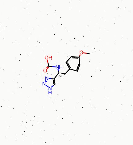 COc1ccc(C[C@H](NC(=O)O)c2c[nH]nn2)cc1